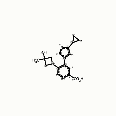 CC1(O)CN(c2cnc(C(=O)O)cc2-n2cnc(C3CC3)c2)C1